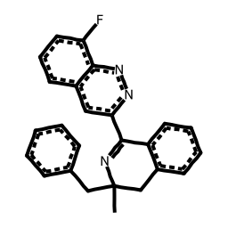 CC1(Cc2ccccc2)Cc2ccccc2C(c2cc3cccc(F)c3nn2)=N1